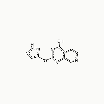 Oc1nc(Oc2cn[nH]c2)nc2cnccc12